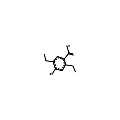 CCc1cc(C(=O)O)c(CC)cc1O